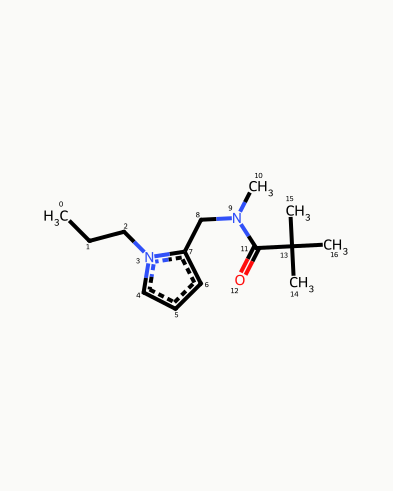 CCCn1cccc1CN(C)C(=O)C(C)(C)C